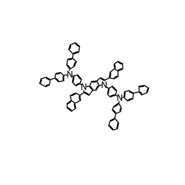 c1ccc(-c2ccc(N(c3ccc(-c4ccccc4)cc3)c3ccc(-n4c(-c5ccc6ccccc6c5)cc5cc6c(cc(-c7ccc8ccccc8c7)n6-c6ccc(N(c7ccc(-c8ccccc8)cc7)c7ccc(-c8ccccc8)cc7)cc6)cc54)cc3)cc2)cc1